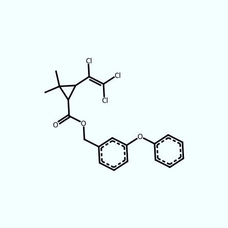 CC1(C)C(C(=O)OCc2cccc(Oc3ccccc3)c2)C1C(Cl)=C(Cl)Cl